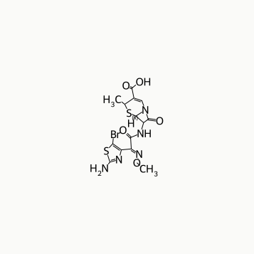 CON=C(C(=O)NC1C(=O)N2C=C(C(=O)O)C(C)S[C@H]12)c1nc(N)sc1Br